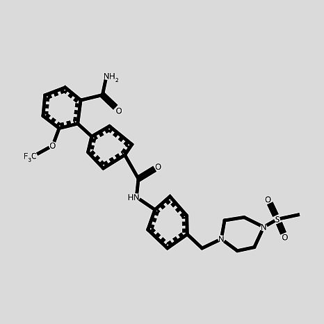 CS(=O)(=O)N1CCN(Cc2ccc(NC(=O)c3ccc(-c4c(C(N)=O)[c]ccc4OC(F)(F)F)cc3)cc2)CC1